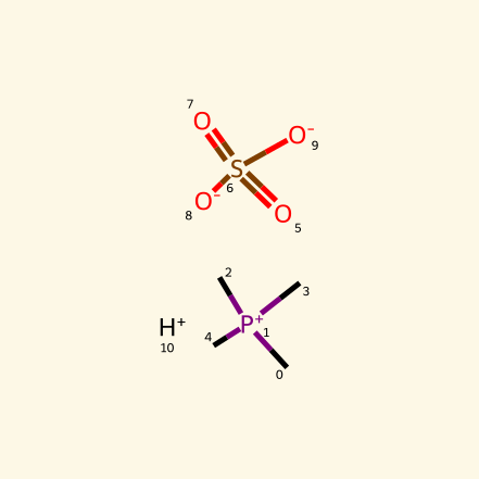 C[P+](C)(C)C.O=S(=O)([O-])[O-].[H+]